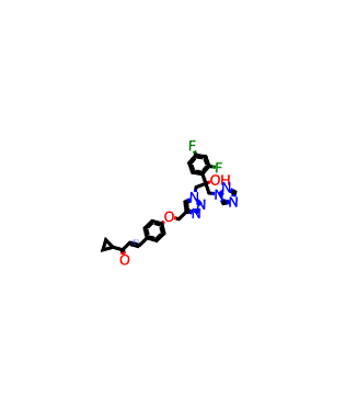 O=C(/C=C/c1ccc(OCc2cn(CC(O)(Cn3cncn3)c3ccc(F)cc3F)nn2)cc1)C1CC1